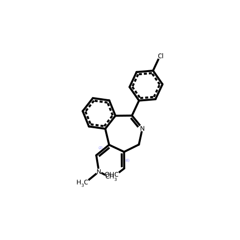 CN(C)/C=C1\C(=C/C=O)CN=C(c2ccc(Cl)cc2)c2ccccc21